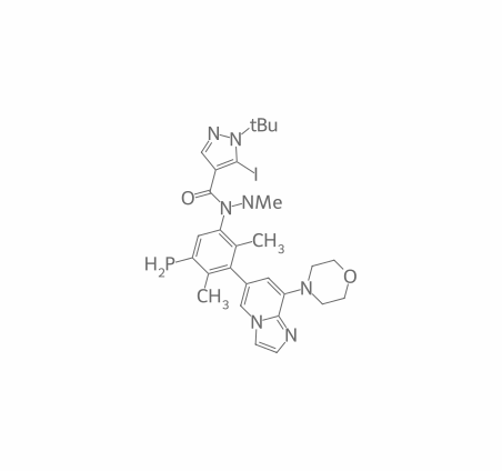 CNN(C(=O)c1cnn(C(C)(C)C)c1I)c1cc(P)c(C)c(-c2cc(N3CCOCC3)c3nccn3c2)c1C